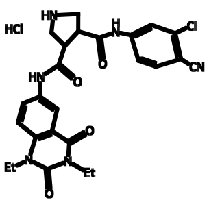 CCn1c(=O)c2cc(NC(=O)C3CNCC3C(=O)Nc3ccc(C#N)c(Cl)c3)ccc2n(CC)c1=O.Cl